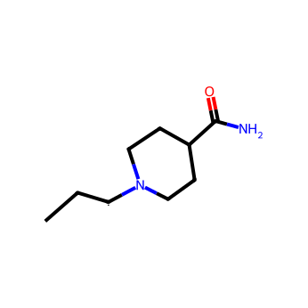 CC[CH]N1CCC(C(N)=O)CC1